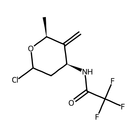 C=C1[C@@H](NC(=O)C(F)(F)F)CC(Cl)O[C@H]1C